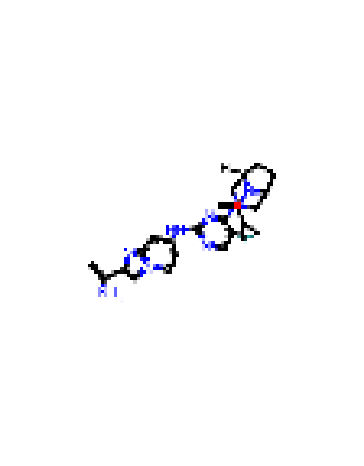 C=C(N)c1cn2ccc(Nc3ncc(F)c(N4CC5CC[C@@H](C4)N5C(=C)C4CC4)n3)cc2n1